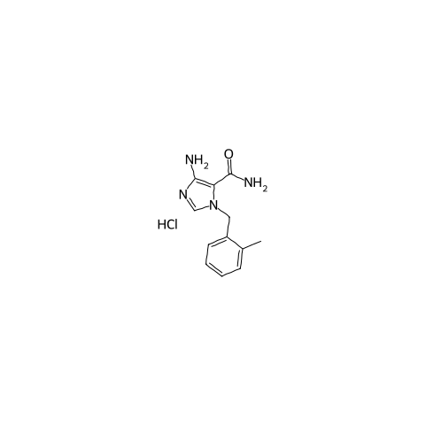 Cc1ccccc1Cn1cnc(N)c1C(N)=O.Cl